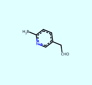 Bc1ccc(CC=O)cn1